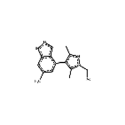 CC(=O)Cn1nc(C)c(-c2cc(C(F)(F)F)cc3[nH]ncc23)c1C